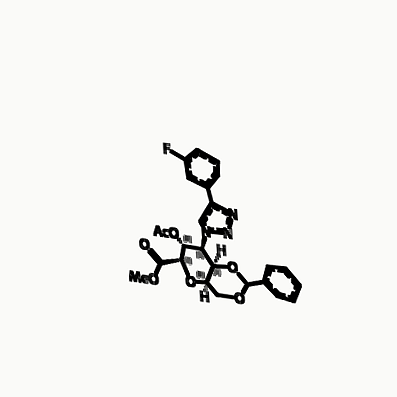 COC(=O)[C@@H]1O[C@@H]2COC(c3ccccc3)O[C@@H]2[C@H](n2cc(-c3cccc(F)c3)nn2)[C@H]1OC(C)=O